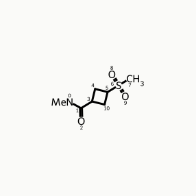 CNC(=O)C1CC(S(C)(=O)=O)C1